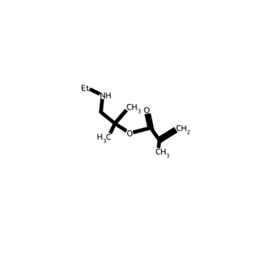 C=C(C)C(=O)OC(C)(C)CNCC